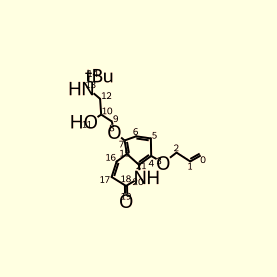 C=CCOc1ccc(OCC(O)CNC(C)(C)C)c2ccc(=O)[nH]c12